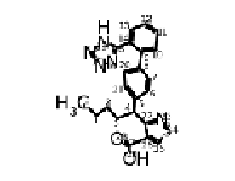 CCCCC(c1ccc(-c2ccccc2-c2nnn[nH]2)cc1)c1nscc1C(=O)O